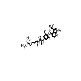 CC(C)OCCCNC(=O)Nc1cc(F)c(Oc2ccnc3[nH]cc(C(F)(F)F)c23)c(F)c1